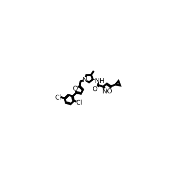 CC1CN(Cc2ccc(-c3cc(Cl)ccc3Cl)o2)C[C@H]1NC(=O)c1cc(C2CC2)on1